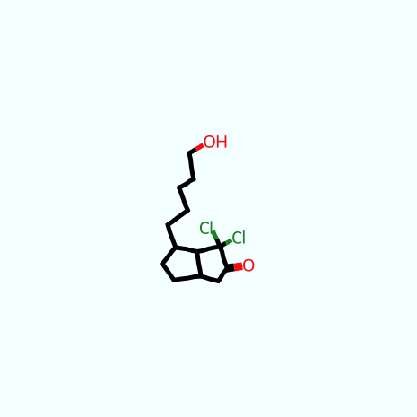 O=C1CC2CCC(CCCCCO)C2C1(Cl)Cl